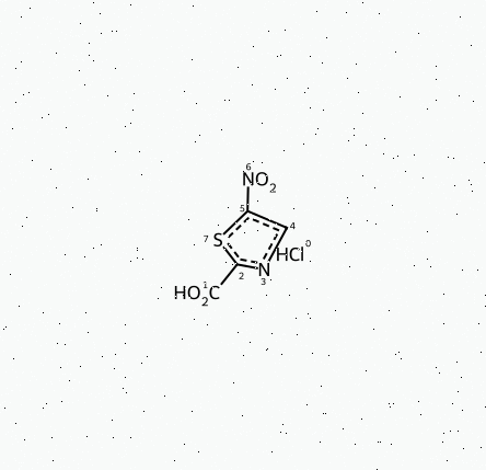 Cl.O=C(O)c1ncc([N+](=O)[O-])s1